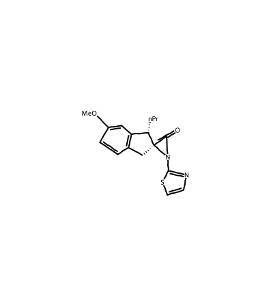 CCC[C@H]1c2cc(OC)ccc2C[C@@]12C(=O)N2c1nccs1